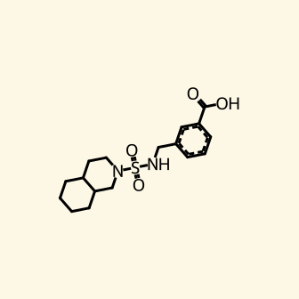 O=C(O)c1cccc(CNS(=O)(=O)N2CCC3CCCCC3C2)c1